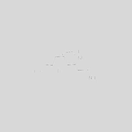 CCCCC(CC)C(O)C(N)CON